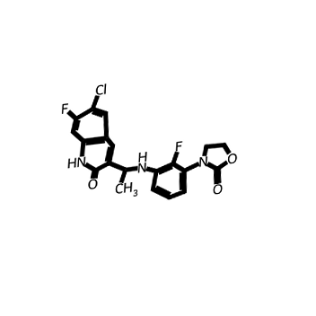 CC(Nc1cccc(N2CCOC2=O)c1F)c1cc2cc(Cl)c(F)cc2[nH]c1=O